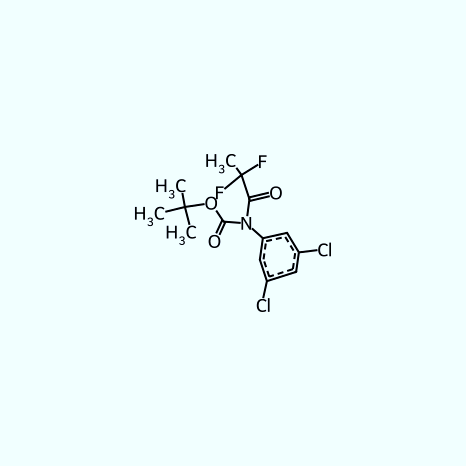 CC(C)(C)OC(=O)N(C(=O)C(C)(F)F)c1cc(Cl)cc(Cl)c1